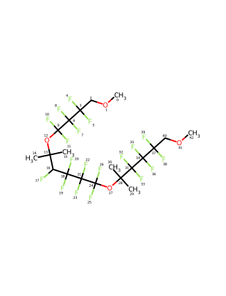 COCC(F)(F)C(F)(F)C(F)(F)OC(C)(C)C(F)C(F)(F)C(F)(F)C(F)(F)OC(C)(C)C(F)(F)C(F)(F)C(F)(F)COC